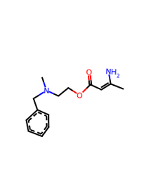 C/C(N)=C/C(=O)OCCN(C)Cc1ccccc1